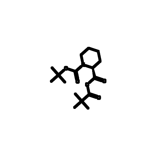 CC(C)(C)OC(=O)N1CCCC[C@H]1C(=O)OC(=O)C(C)(C)C